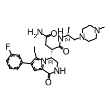 C[C@@H](CN1CCN(C)CC1)NC(=O)C(CC(N)=O)[C@@H]1CNC(=O)c2cc(-c3cccc(F)c3)c(I)n21